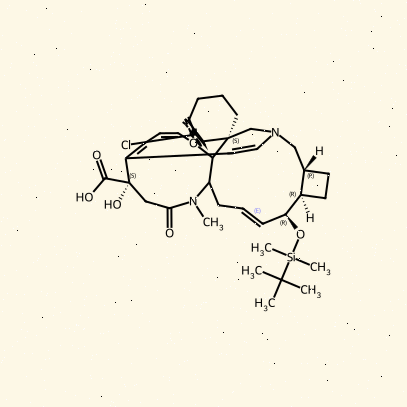 CN1C(=O)C[C@@](O)(C(=O)O)C2=CC=COC3C1C/C=C/[C@H](O[Si](C)(C)C(C)(C)C)[C@@H]1CC[C@H]1CN(C=C2)C[C@@]31CCCc2cc(Cl)ccc21